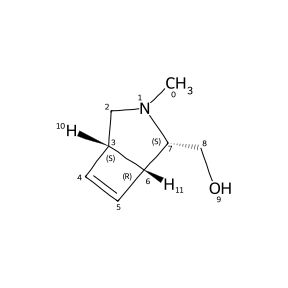 CN1C[C@H]2C=C[C@H]2[C@H]1CO